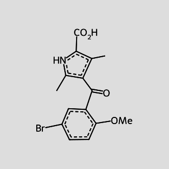 COc1ccc(Br)cc1C(=O)c1c(C)[nH]c(C(=O)O)c1C